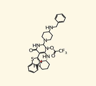 O=C1NC(N2CCC(NCc3ccccc3)CC2)N(OC(=O)C(F)(F)F)C(N[C@@H]2CCCNC2)=C1c1nc2ccccc2s1